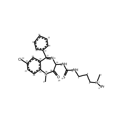 CC(C)N(C)CCCNC(=S)NC1N=C(c2ccccc2)c2cc(Cl)ccc2N(C)C1=O